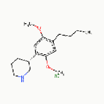 CCCCc1cc(OC)c([C@H]2CCCNC2)cc1OC.Cl